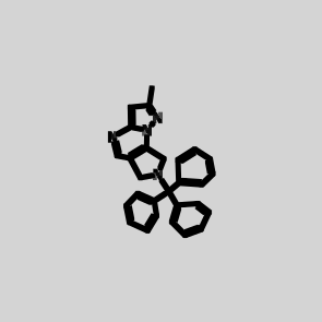 Cc1cc2ncc3c(n2n1)CN(C(c1ccccc1)(c1ccccc1)c1ccccc1)C3